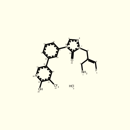 Cl.NC/C(=C\F)Cn1ncn(-c2cccc(-c3cnc(O)c(C(F)(F)F)c3)c2)c1=O